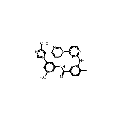 Cc1ccc(C(=O)Nc2cc(-n3cnc(C=O)c3)cc(C(F)(F)F)c2)cc1Nc1nccc(N2C=NC=CC2)n1